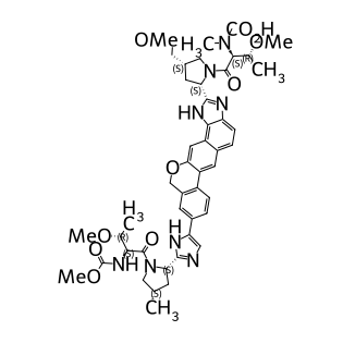 COC[C@H]1C[C@@H](c2nc3ccc4cc5c(cc4c3[nH]2)OCc2cc(-c3cnc([C@@H]4C[C@H](C)CN4C(=O)[C@@H](NC(=O)OC)[C@@H](C)OC)[nH]3)ccc2-5)N(C(=O)[C@H]([C@@H](C)OC)N(C)C(=O)O)C1